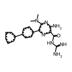 CN(C)c1nc(N)c(C(=O)NC(=N)N)nc1-c1ccc(-c2ccccc2)cc1